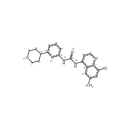 Cc1cc(Cl)c2nccc(NC(=O)Nc3cccc(C4CCOCC4)n3)c2c1